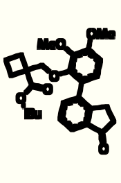 CC[C@@H](C)OC(=O)C1(COc2c(-c3cccc4c3CCC4=O)ccc(OC)c2OC)CCC1